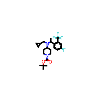 CC(c1ccc(F)cc1C(F)(F)F)N(CC1CC1)C1CCN(C(=O)OC(C)(C)C)CC1